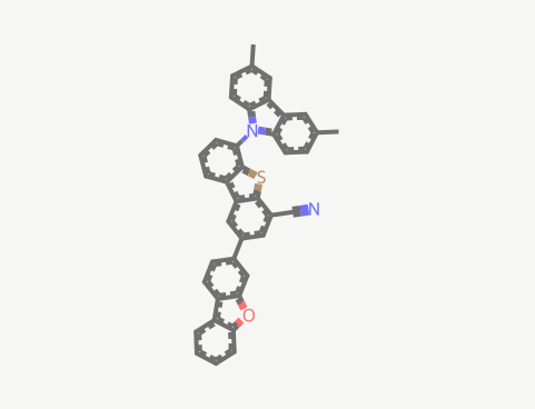 Cc1ccc2c(c1)c1cc(C)ccc1n2-c1cccc2c1sc1c(C#N)cc(-c3ccc4c(c3)oc3ccccc34)cc12